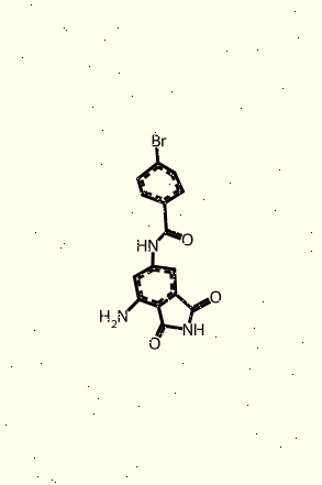 Nc1cc(NC(=O)c2ccc(Br)cc2)cc2c1C(=O)NC2=O